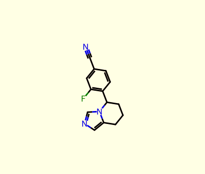 N#Cc1ccc(C2CCCc3cncn32)c(F)c1